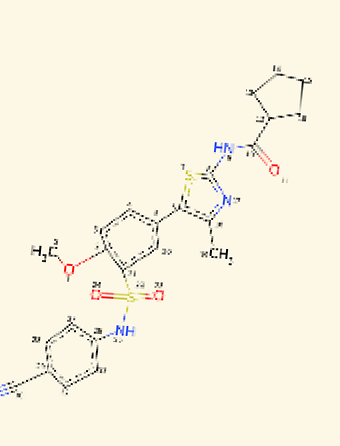 COc1ccc(-c2sc(NC(=O)C3CCCC3)nc2C)cc1S(=O)(=O)Nc1ccc(C#N)cc1